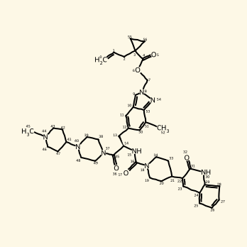 C=CCC1(C(=O)OCn2cc3cc(C[C@@H](NC(=O)N4CCC(c5cc6ccccc6[nH]c5=O)CC4)C(=O)N4CCN(C5CCN(C)CC5)CC4)cc(C)c3n2)CC1